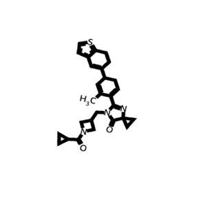 CC1=CC(C2=Cc3ccsc3CC2)CC=C1C1=NC2(CC2)C(=O)N1CC1CN(C(=O)C2CC2)C1